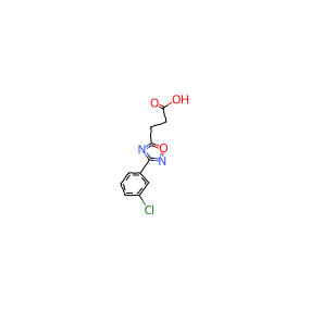 O=C(O)CCc1nc(-c2cccc(Cl)c2)no1